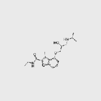 CCNC(=O)c1oc2cccc(OCC(O)CNC(C)C)c2c1C